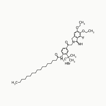 Br.CCCCCCCCCCCCCCCCC(=O)Oc1ccc(C(=O)CN2Cc3cc(OCC)c(OCC)c(F)c3C2=N)cc1C(C)(C)C